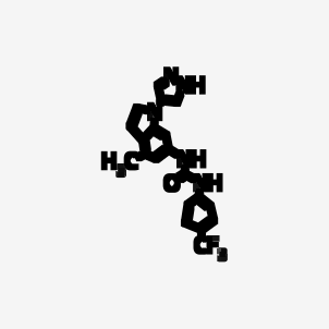 Cc1cc(NC(=O)Nc2ccc(C(F)(F)F)cc2)cc2c1ccn2-c1cn[nH]c1